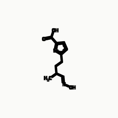 CC(C=NO)CCc1ccc(C(=O)O)s1